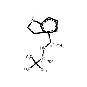 C[C@H](N[S@+]([O-])C(C)(C)C)c1cccc2c1CCN2